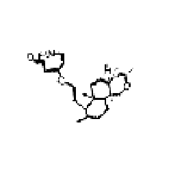 CC1CCC2[C@]3(C)CO[C@@H](C)O[C@@H]3CC[C@@]2(C)[C@@H]1CCOc1cc[nH]c(=O)c1